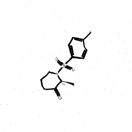 Cc1ccc(S(=O)(=O)N2CCCC(=O)[C@@H]2C)cc1